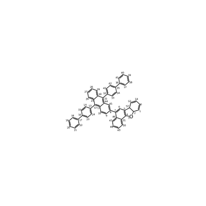 C1=CC2Oc3c(cc(-c4ccc5c(-c6ccc(-c7ccccc7)cc6)c6ccccc6c(-c6ccc(-c7ccccc7)cc6)c5c4)c4ccccc34)C2C=C1